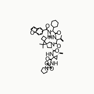 C=C[C@@H]1C[C@]1(NC(=O)[C@@H]1C[C@@]2(CN1C(=O)[C@@H](NC(=O)[C@@H](NC(=O)c1ccc3occc3c1)C1CCCCC1)C(=C)C)C(C)(C)C21CCC1)C(=O)NS(=O)(=O)N1CCCC1